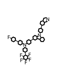 Fc1ccc(-c2ccc(N(c3ccc(-c4ccc5c(c4)c4ccccc4n5-c4ccc(-c5ccc6ccncc6c5)cc4)cc3)c3ccc(-c4c(F)c(F)c(F)c(F)c4F)cc3)cc2)cc1